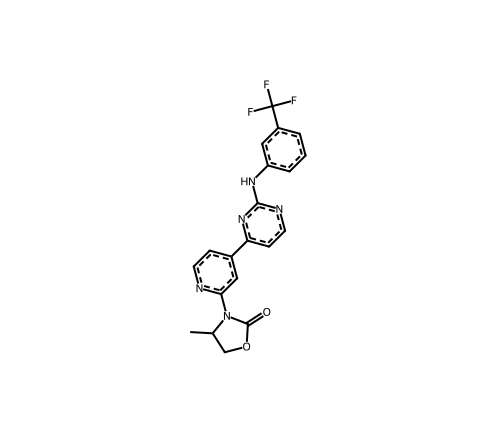 CC1COC(=O)N1c1cc(-c2ccnc(Nc3cccc(C(F)(F)F)c3)n2)ccn1